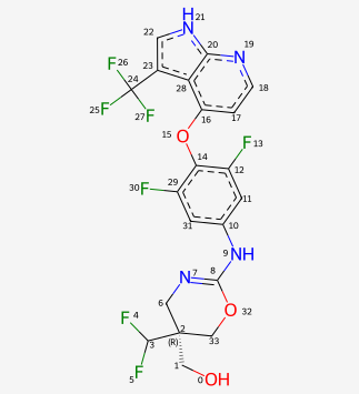 OC[C@]1(C(F)F)CN=C(Nc2cc(F)c(Oc3ccnc4[nH]cc(C(F)(F)F)c34)c(F)c2)OC1